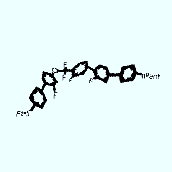 CCCCCc1ccc(-c2ccc(-c3ccc(C(F)(F)Oc4ccc(-c5ccc(SCC)cc5)c(F)c4)c(F)c3)c(F)c2)cc1